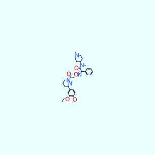 CCOc1cc(C2=NN(C(=O)CO/N=C(\C(=O)N(C)C3CCN(C)CC3)c3ccccc3)CCC2)ccc1OC